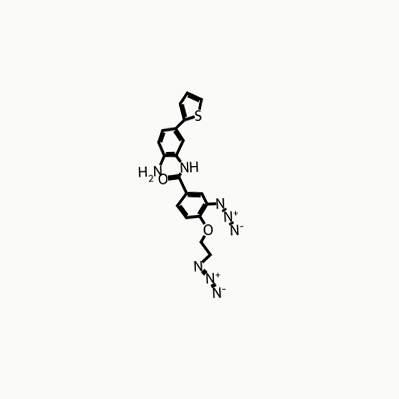 [N-]=[N+]=NCCOc1ccc(C(=O)Nc2cc(-c3cccs3)ccc2N)cc1N=[N+]=[N-]